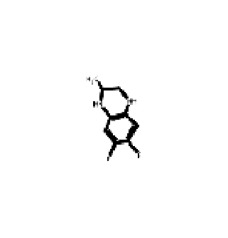 CC1CNc2cc(F)c(F)cc2N1